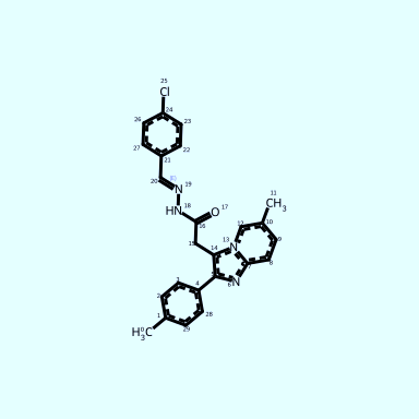 Cc1ccc(-c2nc3ccc(C)cn3c2CC(=O)N/N=C/c2ccc(Cl)cc2)cc1